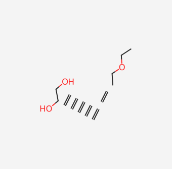 C=C.C=C.C=C.C=C.C=C.C=C.CCOCC.OCCO